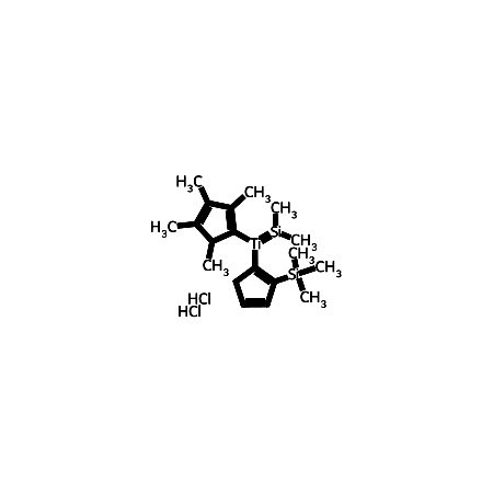 CC1=C(C)C(C)[C]([Ti]([C]2=C([Si](C)(C)C)C=CC2)=[Si](C)C)=C1C.Cl.Cl